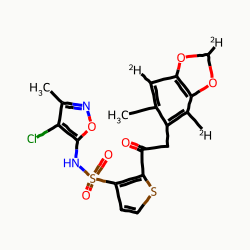 [2H]c1c(C)c(CC(=O)c2sccc2S(=O)(=O)Nc2onc(C)c2Cl)c([2H])c2c1OC([2H])O2